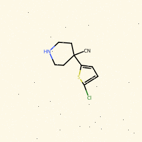 N#CC1(c2ccc(Cl)s2)CCNCC1